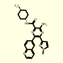 Cn1ccc(-c2nc(N)c(C(=O)N[C@H]3CC[C@H](C(F)(F)F)CC3)nc2-c2ccc3ncccc3c2)n1